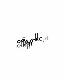 O=C(O)NCCc1ccc(NC2CCN(c3nc(-c4ccccc4)cs3)CC2)cc1.O=CO